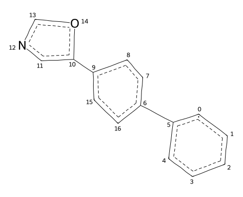 [c]1ccccc1-c1ccc(-c2cnco2)cc1